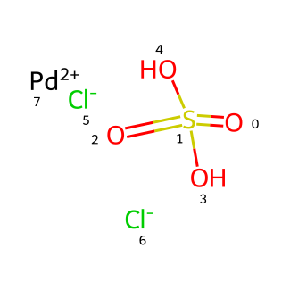 O=S(=O)(O)O.[Cl-].[Cl-].[Pd+2]